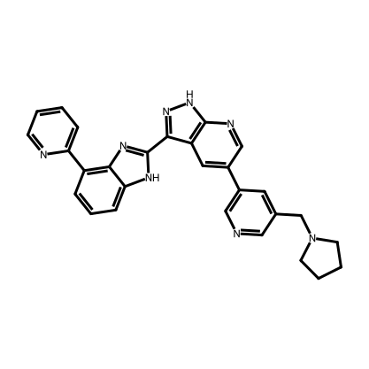 c1ccc(-c2cccc3[nH]c(-c4n[nH]c5ncc(-c6cncc(CN7CCCC7)c6)cc45)nc23)nc1